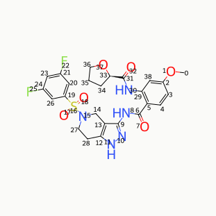 COc1ccc(C(=O)Nc2n[nH]c3c2CN(S(=O)(=O)c2cc(F)cc(F)c2)CC3)c(NC(=O)[C@H]2CCCO2)c1